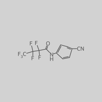 N#Cc1ccc(NC(=O)C(F)(F)C(F)(F)C(F)(F)F)cc1